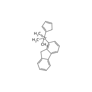 [CH2]=[Zr]([CH3])([CH3])([C]1=CC=CC1)[c]1cccc2c1Cc1ccccc1-2